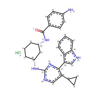 Cl.Nc1ccc(C(=O)N[C@H]2CCC[C@@H](Nc3ncc(C4CC4)c(-c4c[nH]c5ccccc45)n3)C2)cc1